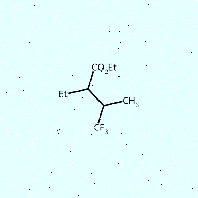 CCOC(=O)C(CC)C(C)C(F)(F)F